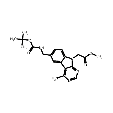 COC(=O)Cn1c2ccc(CNC(=O)OC(C)(C)C)cc2c2c(N)ncnc21